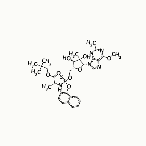 COc1nc(C)nc2c1ncn2[C@@H]1O[C@H](COP(=S)(NC(C)C(=O)OCC(C)(C)C)Oc2cccc3ccccc23)[C@@H](O)[C@@]1(C)O